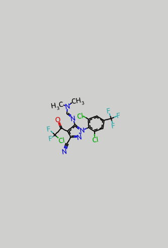 CN(C)C=Nc1c(C(=O)C(F)(F)Cl)c(C#N)nn1-c1c(Cl)cc(C(F)(F)F)cc1Cl